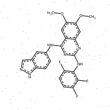 COc1cc2nc(Nc3c(F)ccc(F)c3F)nc(Nc3ccc4[nH]ncc4c3)c2cc1OC